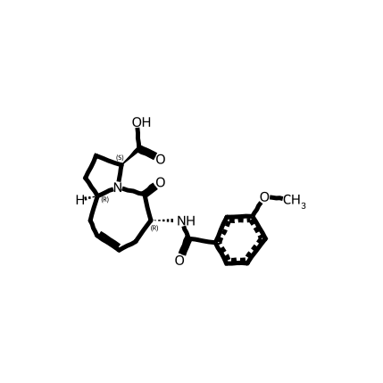 COc1cccc(C(=O)N[C@@H]2CC=CC[C@H]3CC[C@@H](C(=O)O)N3C2=O)c1